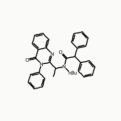 CCCCN(C(=O)C(c1ccccc1)c1ccccc1)C(C)c1nc2ccccc2c(=O)n1-c1ccccc1